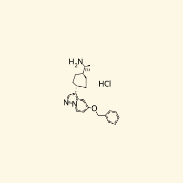 C[C@H](N)[C@H]1CC[C@H](c2cnn3ccc(OCc4ccccc4)cc23)CC1.Cl